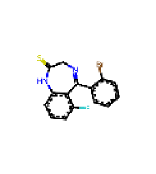 Fc1cccc2c1C(c1ccccc1Br)=NCC(=S)N2